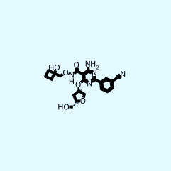 N#Cc1cccc(-c2nc(N)c(C(=O)NOCC3(O)CCC3)c(O[C@H]3CO[C@H](CO)C3)n2)c1